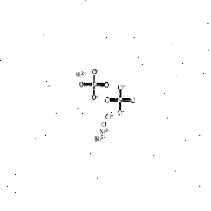 O=S(=O)([O-])[O-].O=S(=O)([O-])[O-].[Cl-].[Cl-].[Ni+2].[Ni+2].[Ni+2]